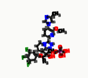 COc1nc(-c2nnc3n2CCC[C@]3(Oc2cc(F)c(F)c(F)c2)C(C)(C)O)ccc1-n1cnc(C)c1.O=P(O)(O)O